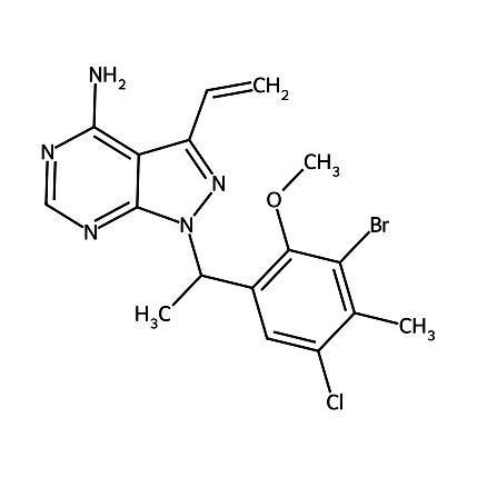 C=Cc1nn(C(C)c2cc(Cl)c(C)c(Br)c2OC)c2ncnc(N)c12